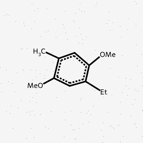 CCc1cc(OC)c(C)cc1OC